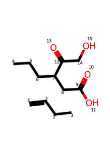 C=CCC.CCCC(CC(=O)O)C(=O)CO